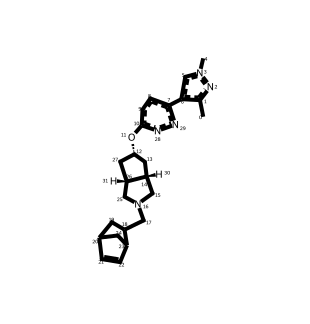 Cc1nn(C)cc1-c1ccc(O[C@@H]2C[C@@H]3CN(CC4CC5C=CC4C5)C[C@@H]3C2)nn1